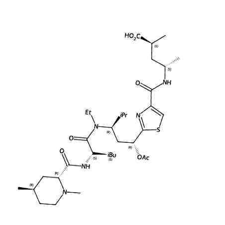 CC[C@H](C)[C@H](NC(=O)[C@H]1C[C@H](C)CCN1C)C(=O)N(CC)[C@H](C[C@@H](OC(C)=O)c1nc(C(=O)N[C@@H](C)C[C@H](C)C(=O)O)cs1)C(C)C